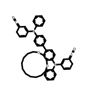 O=C=C1C=C(N(c2ccccc2)c2ccc(-c3ccc(N(C4=CC(=C=O)CC=C4)c4ccccc4)c4c3OCCCCCCCCCCO4)cc2)C=CC1